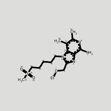 CCOCc1nc2c(N)nc(C)c(C)c2n1CCCCCS(C)(=O)=O